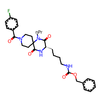 CCCN1C(=O)[C@H](CCCCNC(=O)OCc2ccccc2)NC(=O)C12CCN(C(=O)c1ccc(F)cc1)CC2